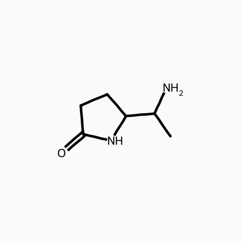 CC(N)C1CCC(=O)N1